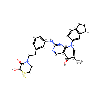 O=C1[SH4]CCN(CCc2cccc(Nc3ncc4c(=O)c(C(=O)O)cn(-c5ccc6c(c5)CCC6)c4n3)c2)C1=O